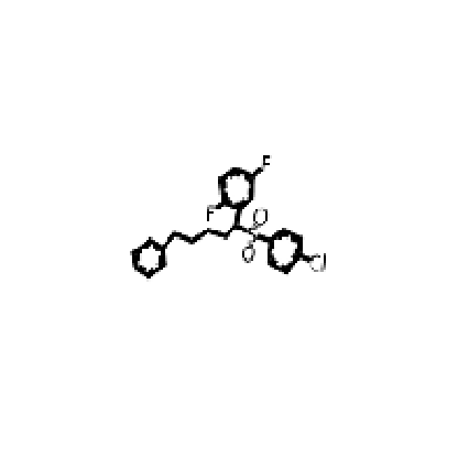 O=S(=O)(c1ccc(Cl)cc1)C(CCCCc1ccccc1)c1cc(F)ccc1F